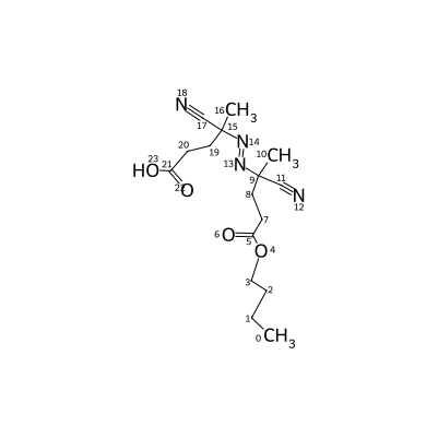 CCCCOC(=O)CCC(C)(C#N)N=NC(C)(C#N)CCC(=O)O